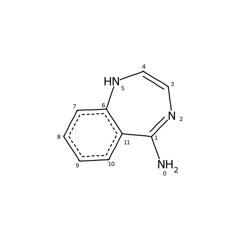 NC1=NC=CNc2ccccc21